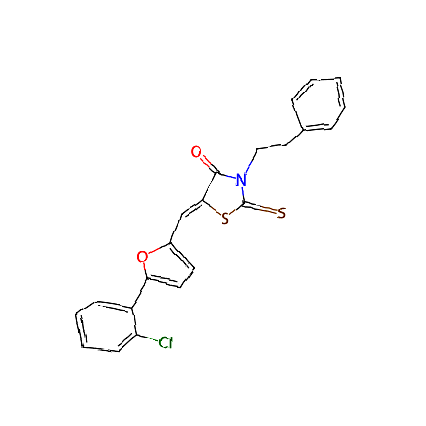 O=C1C(=Cc2ccc(-c3ccccc3Cl)o2)SC(=S)N1CCc1ccccc1